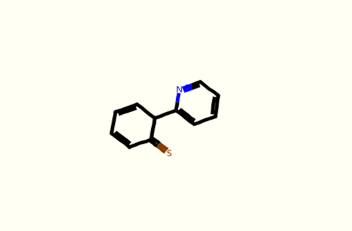 S=C1[C]=CC=CC1c1ccccn1